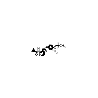 Cc1cc(Cn2cc3c(NC(=O)C4CC4)nccc3n2)ccc1OCC(C)(F)F